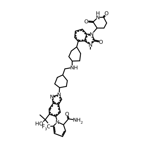 Cn1c(=O)n(C2CCC(=O)NC2=O)c2cccc(C3CCC(NCC4CCC(n5cc6cc(N7C(C(F)(F)F)=CC=CC7C(N)=O)c(C(C)(C)O)cc6n5)CC4)CC3)c21